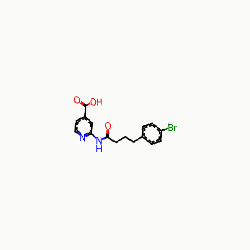 O=C(CCCc1ccc(Br)cc1)Nc1cc(C(=O)O)ccn1